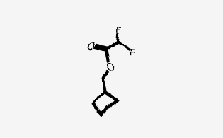 O=C(OCC1CCC1)C(F)F